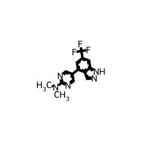 CN(C)c1ncc(-c2cc(C(F)(F)F)cc3[nH]ncc23)cn1